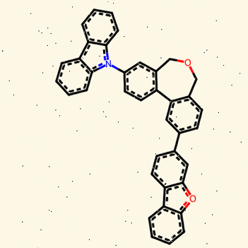 c1ccc2c(c1)oc1cc(-c3ccc4c(c3)-c3ccc(-n5c6ccccc6c6ccccc65)cc3COC4)ccc12